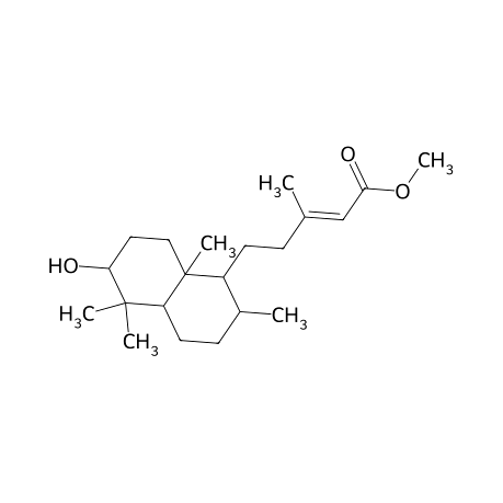 COC(=O)/C=C(\C)CCC1C(C)CCC2C(C)(C)C(O)CCC12C